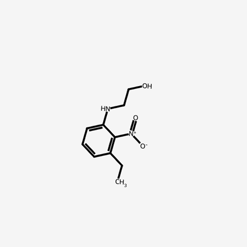 CCc1cccc(NCCO)c1[N+](=O)[O-]